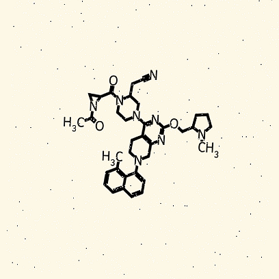 CC(=O)N1CC1C(=O)N1CCN(c2nc(OCC3CCCN3C)nc3c2CCN(c2cccc4cccc(C)c24)C3)CC1CC#N